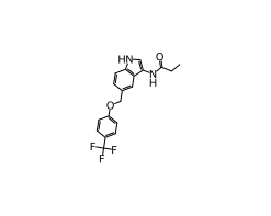 CCC(=O)Nc1c[nH]c2ccc(COc3ccc(C(F)(F)F)cc3)cc12